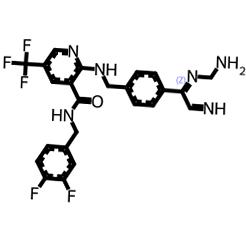 N=C/C(=N\CN)c1ccc(CNc2ncc(C(F)(F)F)cc2C(=O)NCc2ccc(F)c(F)c2)cc1